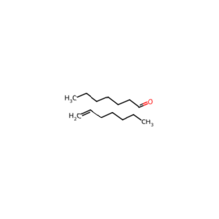 C=CCCCCC.CCCCCCC=O